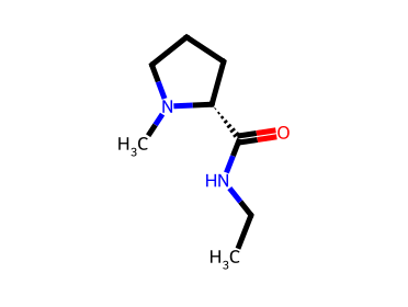 CCNC(=O)[C@H]1CCCN1C